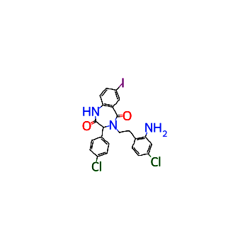 Nc1cc(Cl)ccc1CCN1C(=O)c2cc(I)ccc2NC(=O)C1c1ccc(Cl)cc1